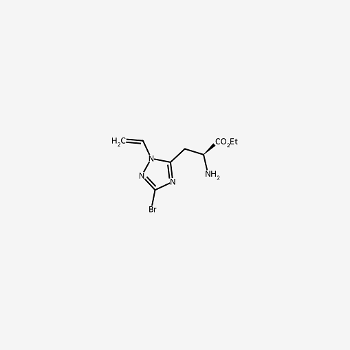 C=Cn1nc(Br)nc1C[C@H](N)C(=O)OCC